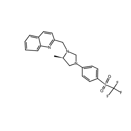 C[C@@H]1CN(c2ccc(S(=O)(=O)C(F)(F)F)cc2)CN1Cc1ccc2ccccc2n1